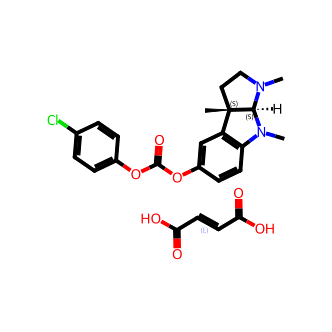 CN1CC[C@@]2(C)c3cc(OC(=O)Oc4ccc(Cl)cc4)ccc3N(C)[C@H]12.O=C(O)/C=C/C(=O)O